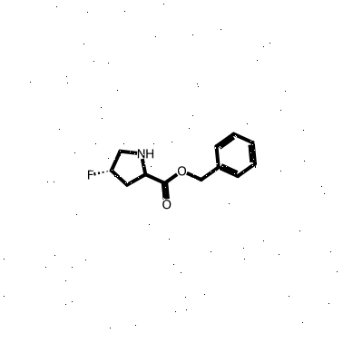 O=C(OCc1ccccc1)C1C[C@H](F)CN1